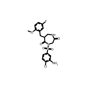 COc1ccc(F)cc1CC1CNC(=O)CN(S(=O)(=O)c2ccc(Cl)c(N)c2)C1=O